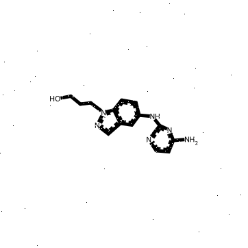 Nc1ccnc(Nc2ccc3c(cnn3CCCO)c2)n1